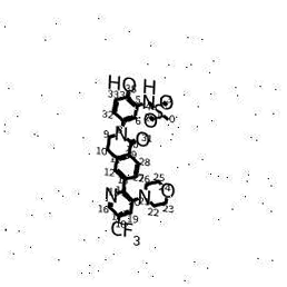 CS(=O)(=O)Nc1cc(N2CCc3cc(-c4ncc(C(F)(F)F)cc4N4CCOCC4)ccc3C2=O)ccc1O